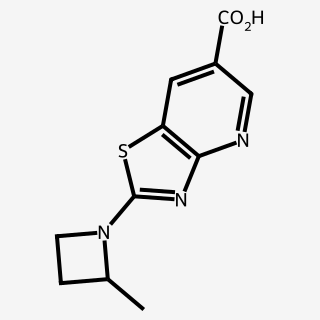 CC1CCN1c1nc2ncc(C(=O)O)cc2s1